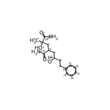 CC(O)(CC(CC(O)[CH]Cc1ccccc1)C(N)=O)C(N)=O